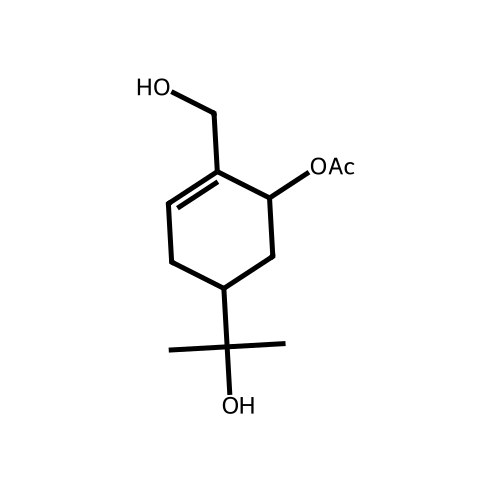 CC(=O)OC1CC(C(C)(C)O)CC=C1CO